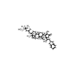 CC(C)C1=C2[C@H]3CC[C@@H]4[C@@]5(C)CCC(OC(=O)CC(C)(C)C(=O)O)C(C)(C)[C@@H]5CC[C@@]4(C)[C@]3(C)CC[C@@]2([C@H](O)CN2Cc3ccccc3C2)CC1=O